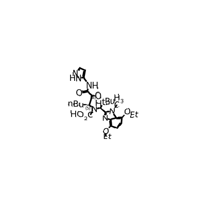 CCCC[C@@H]([C@H](O)C(=O)Nc1ccn[nH]1)N(C(=O)O)C(c1nc2c(OCC)ccc(OCC)c2n1C)C(C)(C)C